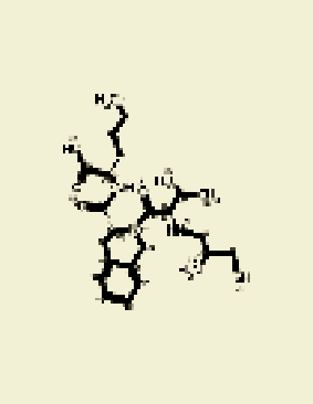 CCCC[C@H](NC(=O)[C@H]1Cc2ccccc2CN1C(=O)[C@@H](NCC(N)CS)C(C)C)C(=O)O